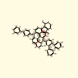 CC1CC=CC2=C1c1ccc(N(c3ccc(-c4ccccc4)cc3)c3ccccc3-c3ccccc3N(c3ccccc3)c3ccc(-c4ccccc4)c(-c4ccccc4)c3)cc1C2(C)C